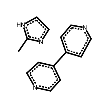 Cc1ncc[nH]1.c1cc(-c2ccncc2)ccn1